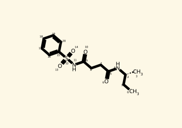 CC[C@@H](C)NC(=O)CCC(=O)NS(=O)(=O)c1ccccc1